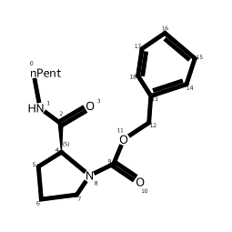 CCCCCNC(=O)[C@@H]1CCCN1C(=O)OCc1ccccc1